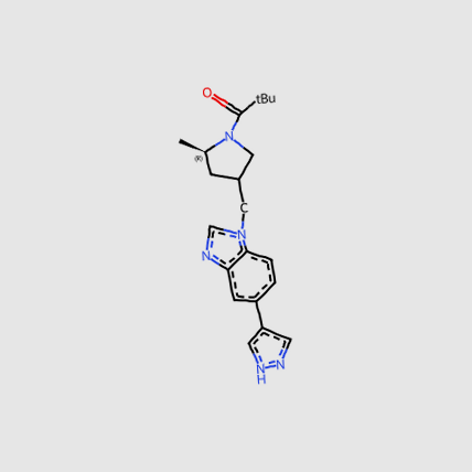 C[C@@H]1CC(Cn2cnc3cc(-c4cn[nH]c4)ccc32)CN1C(=O)C(C)(C)C